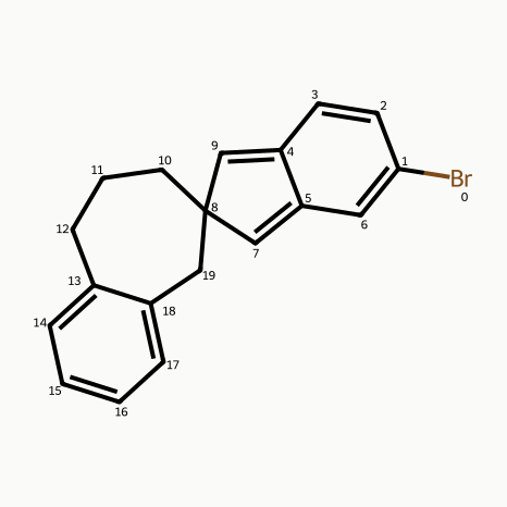 Brc1ccc2c(c1)=CC1(C=2)CCCc2ccccc2C1